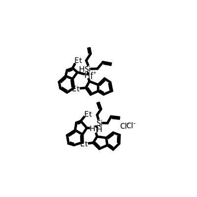 C=CC[SiH](CC=C)[Hf+]([CH]1C(CC)=Cc2ccccc21)[CH]1C(CC)=Cc2ccccc21.C=CC[SiH](CC=C)[Hf+]([CH]1C(CC)=Cc2ccccc21)[CH]1C(CC)=Cc2ccccc21.[Cl-].[Cl-]